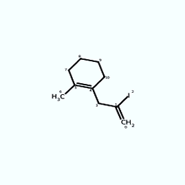 C=C(I)CC1=C(C)CCCC1